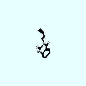 C#CCCn1c(=O)[nH]c2ccccc2c1=O